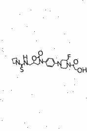 O=C1OC(CNC(=S)N2CCC2)CN1c1ccc(N2CCN(C(=O)CO)C(F)C2)cc1